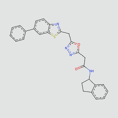 O=C(Cc1nnc(Cc2nc3ccc(-c4ccccc4)cc3s2)o1)NC1CCc2ccccc21